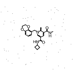 C=C1C(C(=O)NC)=CC(C(=O)NC2CCC2)=CN1Cc1cccc2c1OCCO2